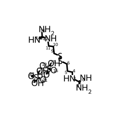 N=C(N)NCCCSSCCCNC(=N)N.O=S(=O)(O)O.O=S(=O)(O)O